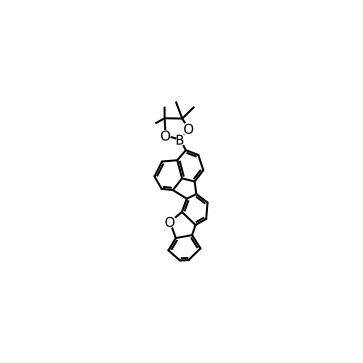 CC1(C)OB(c2ccc3c4c(cccc24)-c2c-3ccc3c2oc2ccccc23)OC1(C)C